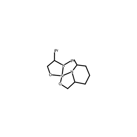 CC(C)C1CO[Si]2(OCC3CCCC(C)N32)N1C(C)C